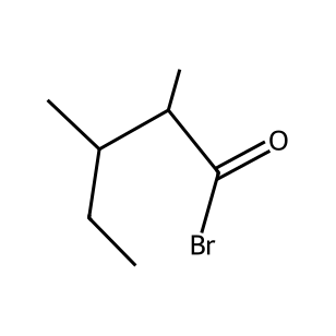 CCC(C)C(C)C(=O)Br